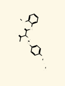 COc1ccccc1NC(=O)C(/N=N/c1ccc(SOOO)cc1)C(C)=O